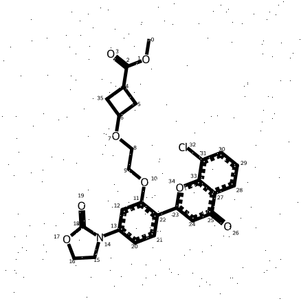 COC(=O)C1CC(OCCOc2cc(N3CCOC3=O)ccc2-c2cc(=O)c3cccc(Cl)c3o2)C1